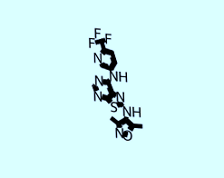 Cc1noc(C)c1Nc1nc2c(Nc3ccc(C(F)(F)F)nc3)ncnc2s1